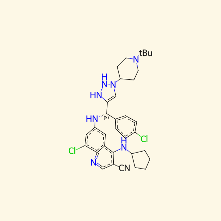 CC(C)(C)N1CCC(N2C=C([C@@H](Nc3cc(Cl)c4ncc(C#N)c(NC5CCCC5)c4c3)c3ccc(Cl)cc3)NN2)CC1